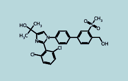 CC(C)(O)c1cn(-c2ccc(-c3ccc(CO)c(S(C)(=O)=O)c3)cc2)c(-c2c(Cl)cccc2Cl)n1